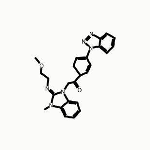 COCC/N=c1/n(C)c2ccccc2n1CC(=O)C1C=CC(n2nnc3ccccc32)=CC1